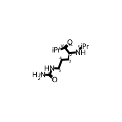 CC(C)N[C@@H](CCCNC(N)=O)C(=O)C(C)C